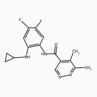 Cc1nncc(C(=O)Nc2cc(F)c(F)cc2NC2CC2)c1C